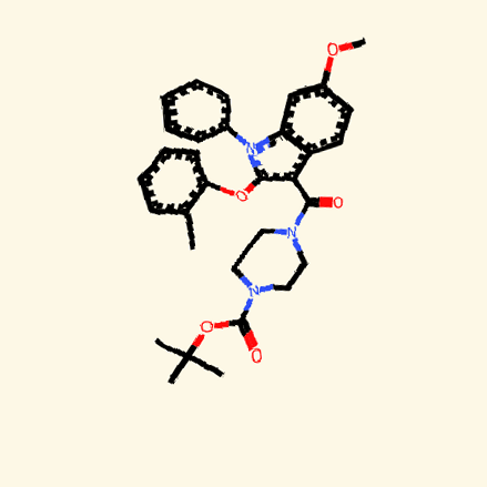 COc1ccc2c(C(=O)N3CCN(C(=O)OC(C)(C)C)CC3)c(Oc3ccccc3C)n(-c3ccccc3)c2c1